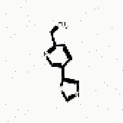 C=Cc1ccc(-c2cnco2)cn1